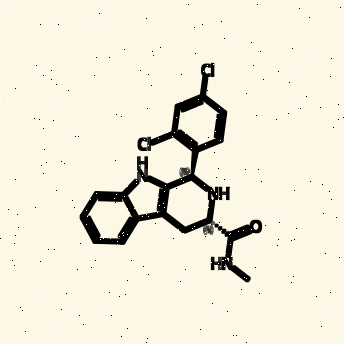 CNC(=O)[C@@H]1Cc2c([nH]c3ccccc23)[C@@H](c2ccc(Cl)cc2Cl)N1